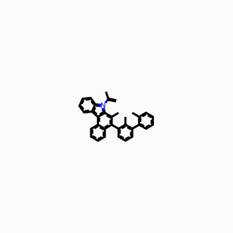 C=C(C)n1c2ccccc2c2c3ccccc3c(-c3cccc(-c4ccccc4C)c3C)c(C)c21